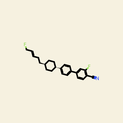 N#Cc1ccc(-c2ccc([C@H]3CC[C@H](CCC=CCF)CC3)cc2)cc1F